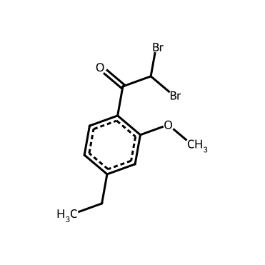 CCc1ccc(C(=O)C(Br)Br)c(OC)c1